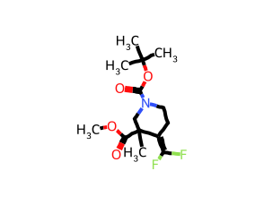 COC(=O)C1(C)CN(C(=O)OC(C)(C)C)CCC1=C(F)F